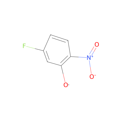 [O]c1cc(F)ccc1[N+](=O)[O-]